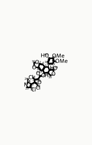 COc1cc([C@@H]2c3cc4c(cc3[C@H](OC(=O)c3oc(Cl)c(-c5c(Cl)cnn5C)c3Cl)[C@H]3COC(=O)[C@@H]23)OCO4)cc(O)c1OC